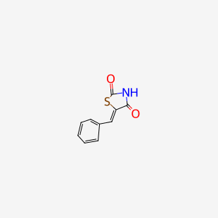 O=C1NC(=O)/C(=C/c2ccccc2)S1